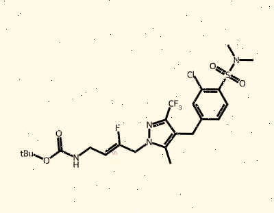 Cc1c(Cc2ccc(S(=O)(=O)N(C)C)c(Cl)c2)c(C(F)(F)F)nn1C/C(F)=C/CNC(=O)OC(C)(C)C